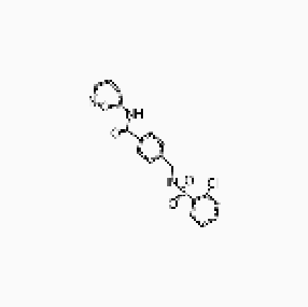 O=C(Nc1cccnc1)c1ccc(CNS(=O)(=O)c2ccccc2Cl)cc1